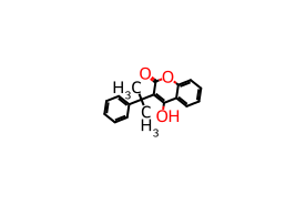 CC(C)(c1ccccc1)c1c(O)c2ccccc2oc1=O